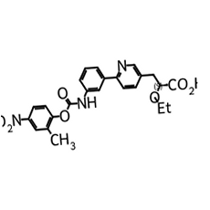 CCO[C@@H](Cc1ccc(-c2cccc(NC(=O)Oc3ccc([N+](=O)[O-])cc3C)c2)nc1)C(=O)O